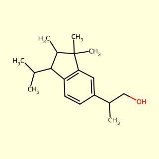 CC(CO)c1ccc2c(c1)C(C)(C)C(C)C2C(C)C